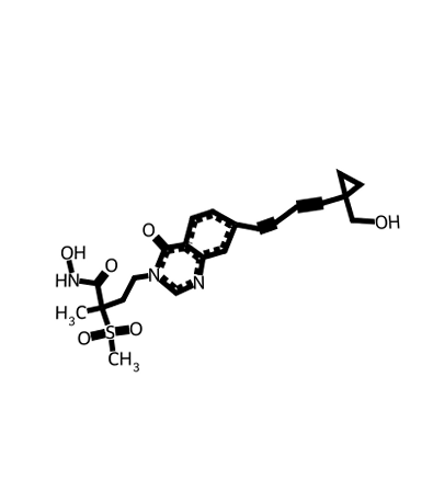 CC(CCn1cnc2cc(C#CC#CC3(CO)CC3)ccc2c1=O)(C(=O)NO)S(C)(=O)=O